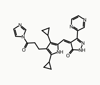 O=C1NN=C(c2cnccn2)C1=Cc1[nH]c(C2CC2)c(CCC(=O)n2ccnc2)c1C1CC1